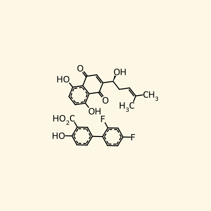 CC(C)=CC[C@H](O)C1=CC(=O)c2c(O)ccc(O)c2C1=O.O=C(O)c1cc(-c2ccc(F)cc2F)ccc1O